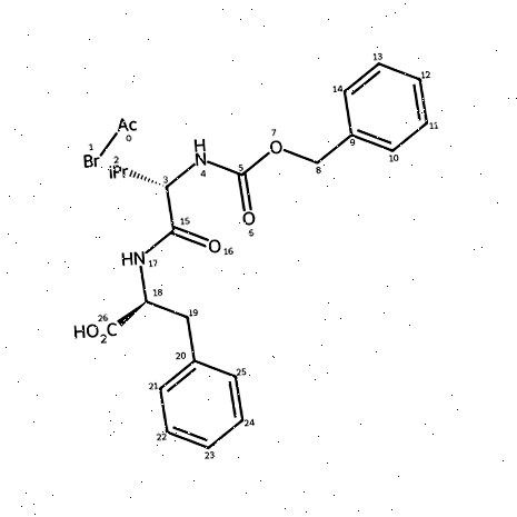 CC(=O)Br.CC(C)[C@H](NC(=O)OCc1ccccc1)C(=O)N[C@@H](Cc1ccccc1)C(=O)O